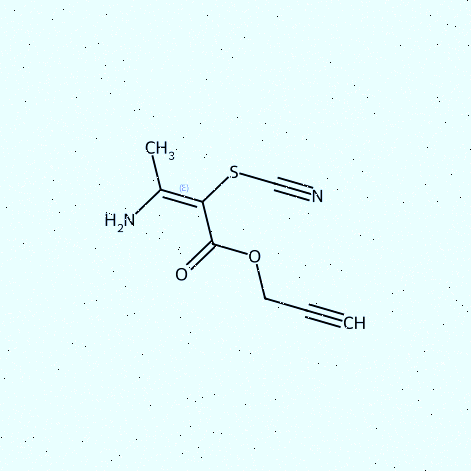 C#CCOC(=O)/C(SC#N)=C(/C)N